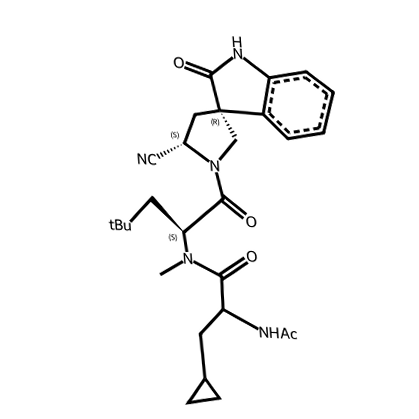 CC(=O)NC(CC1CC1)C(=O)N(C)[C@@H](CC(C)(C)C)C(=O)N1C[C@]2(C[C@H]1C#N)C(=O)Nc1ccccc12